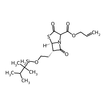 C=CCOC(=O)C1C(=O)S[C@@H]2[C@@H](CCO[SiH2]C(C)(C)C(C)C)C(=O)N12